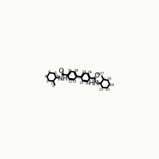 CC1CCCCC1NC(=O)c1ccc(-c2ccc(C(=O)NC3CCCCC3C)cc2)cc1